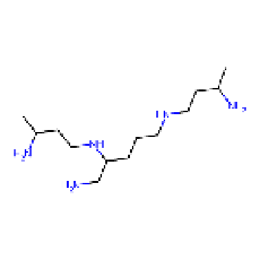 CC(N)CCNCCCC(CN)NCCC(C)N